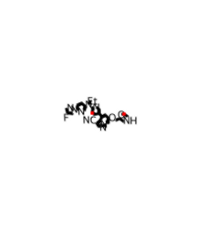 CCN(c1ccc(-n2cc(F)cn2)nc1)c1ccc(-c2cc(OCC3CNCCO3)cn3ncc(C#N)c23)cn1